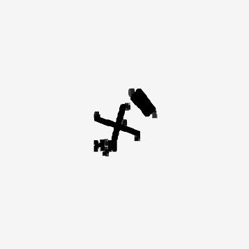 C#C.CC(C)(C)N